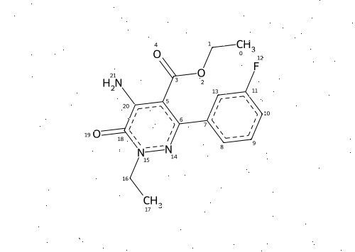 CCOC(=O)c1c(-c2cccc(F)c2)nn(CC)c(=O)c1N